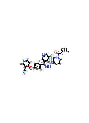 C=CC(=O)N1CCC[C@@H](Nc2c(Cl)cncc2C(=N)c2ccc(Oc3ccncc3C#N)cc2)C1